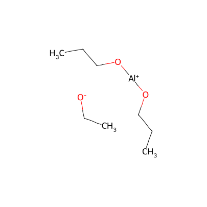 CCC[O][Al+][O]CCC.CC[O-]